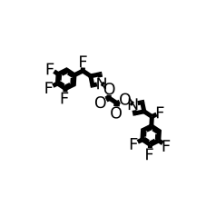 O=C(ON1CC(C(F)c2cc(F)c(F)c(F)c2)C1)C(=O)ON1CC(C(F)c2cc(F)c(F)c(F)c2)C1